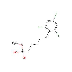 CO[Si](O)(O)CCCCCc1c(F)cc(F)cc1F